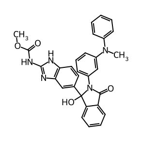 COC(=O)Nc1nc2cc(C3(O)c4ccccc4C(=O)N3c3cccc(N(C)c4ccccc4)c3)ccc2[nH]1